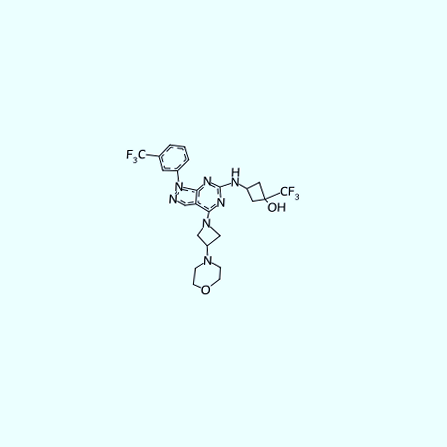 OC1(C(F)(F)F)CC(Nc2nc(N3CC(N4CCOCC4)C3)c3cnn(-c4cccc(C(F)(F)F)c4)c3n2)C1